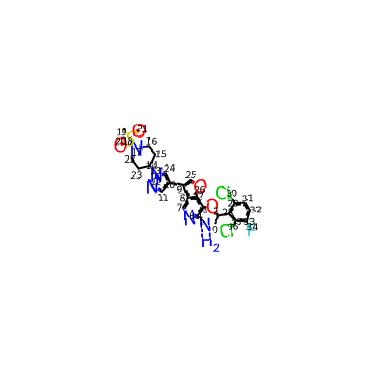 CC(Oc1c(N)ncc2c(-c3cnn(C4CCN(S(C)(=O)=O)CC4)c3)coc12)c1c(Cl)ccc(F)c1Cl